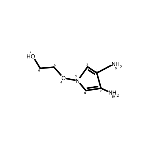 Nc1cn(OCCO)cc1N